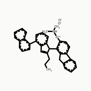 CCCC1=Cc2c(-c3cccc4ccccc34)cccc2C1c1[c]([Zr+2][SiH](C)C)ccc2c1Cc1ccccc1-2.[Cl-].[Cl-]